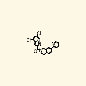 O=C(c1cc2c(Cl)cc(Cl)cn2n1)N1CCc2ccc(-c3ccccn3)cc2C1